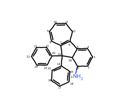 NC1C=CC=C2C3=C(C=CC=CC3)C(c3ccccc3)(c3ccccc3)C21